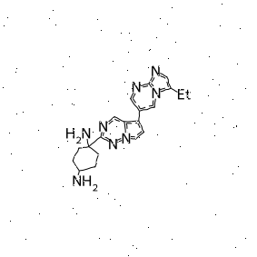 CCc1cnc2ncc(-c3ccn4nc(C5(N)CCC(N)CC5)ncc34)cn12